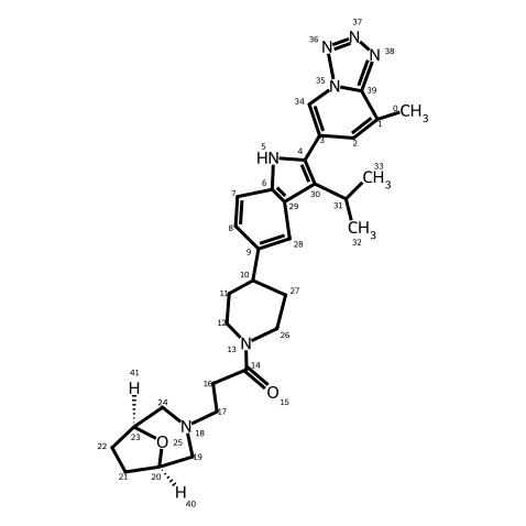 Cc1cc(-c2[nH]c3ccc(C4CCN(C(=O)CCN5C[C@H]6CC[C@@H](C5)O6)CC4)cc3c2C(C)C)cn2nnnc12